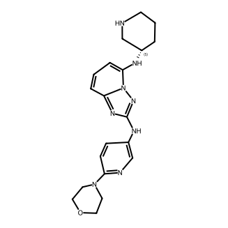 c1cc(N[C@H]2CCCNC2)n2nc(Nc3ccc(N4CCOCC4)nc3)nc2c1